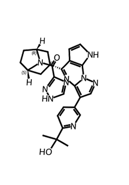 CC(C)(O)c1ccc(-c2cnn3c2nc([C@H]2C[C@H]4CC[C@@H](C2)N4C(=O)c2nc[nH]n2)c2cc[nH]c23)cn1